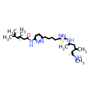 C=C(C)/C=C(\C)CC(=O)Nc1ccc(CCCCc2nnc(NC(=C)CC(=C)/C=C\NC)s2)nn1